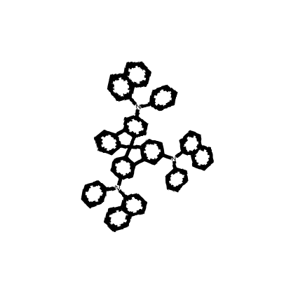 c1ccc(N(c2ccc3c(c2)-c2ccccc2C32c3ccc(N(c4ccccc4)c4cccc5ccccc45)cc3-c3cc(N(c4ccccc4)c4cccc5ccccc45)ccc32)c2cccc3ccccc23)cc1